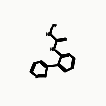 CC(C)NC(=O)Nc1ccccc1-c1cccnc1